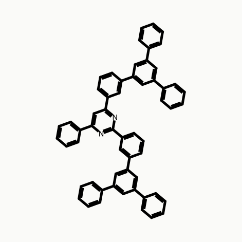 c1ccc(-c2cc(-c3ccccc3)cc(-c3cccc(-c4cc(-c5ccccc5)nc(-c5cccc(-c6cc(-c7ccccc7)cc(-c7ccccc7)c6)c5)n4)c3)c2)cc1